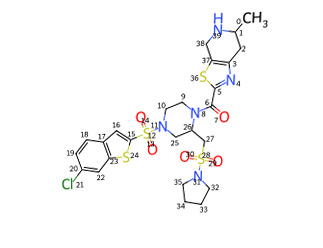 CC1Cc2nc(C(=O)N3CCN(S(=O)(=O)c4cc5ccc(Cl)cc5s4)CC3CS(=O)(=O)N3CCCC3)sc2CN1